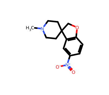 CN1CCC2(CC1)COc1ccc([N+](=O)[O-])cc12